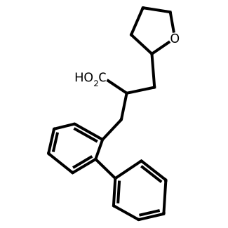 O=C(O)C(Cc1ccccc1-c1ccccc1)CC1CCCO1